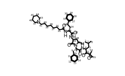 CC(C)CC(NC(=O)[C@H](Cc1ccccc1)N1C(=O)C(NC(=O)[C@H](CCc2ccccc2)NC(=O)CCCCCCCN2CCCCC2)CC1C)C(=O)C1(C)CO1